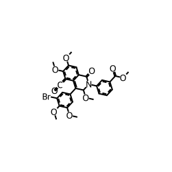 COC(=O)c1cccc(N2C(=O)c3cc(OC)c(OC)c(=C=O)c3=C(c3cc(Br)c(OC)c(OC)c3)C2OC)c1